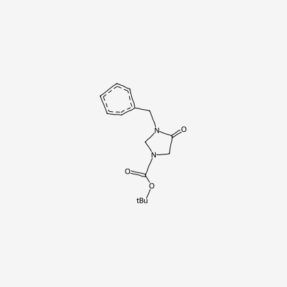 CC(C)(C)OC(=O)N1CC(=O)N(Cc2ccccc2)C1